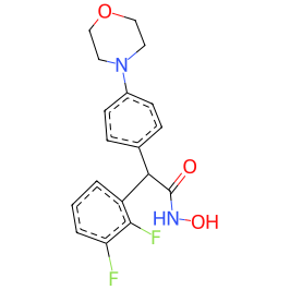 O=C(NO)C(c1ccc(N2CCOCC2)cc1)c1cccc(F)c1F